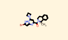 C[C@@H]1c2ccccc2CCN1C(=O)c1cc(N2CCC2)n2nc(Br)cc2n1